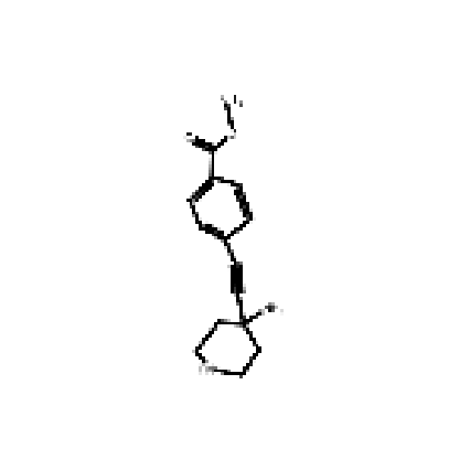 COC(=O)c1ccc(C#CC2(N)CCNCC2)cc1